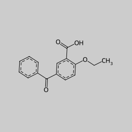 CCOc1ccc(C(=O)c2ccccc2)cc1C(=O)O